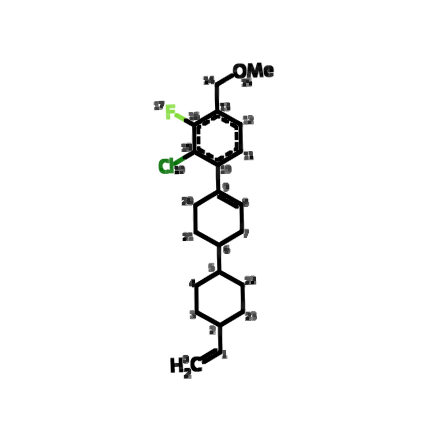 C=CC1CCC(C2CC=C(c3ccc(COC)c(F)c3Cl)CC2)CC1